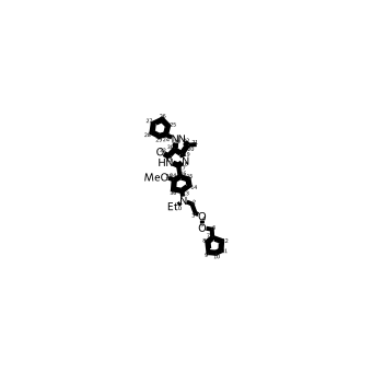 CCN(CCOOCc1ccccc1)c1ccc(-c2nc3c(C)nn(-c4ccccc4)c3c(=O)[nH]2)c(OC)c1